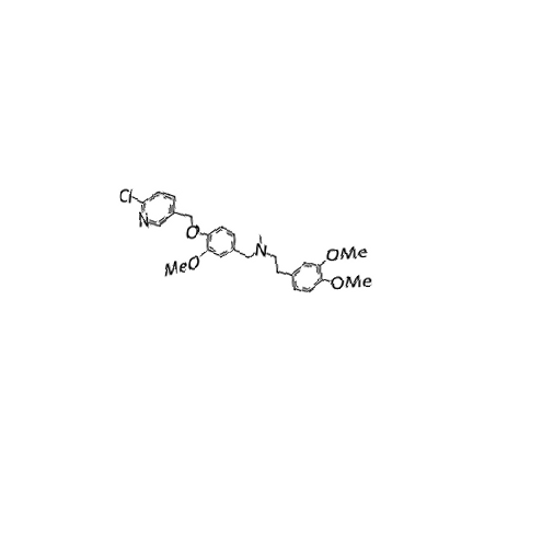 COc1ccc(CCN(C)Cc2ccc(OCc3ccc(Cl)nc3)c(OC)c2)cc1OC